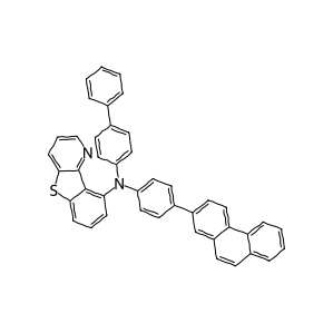 c1ccc(-c2ccc(N(c3ccc(-c4ccc5c(ccc6ccccc65)c4)cc3)c3cccc4sc5cccnc5c34)cc2)cc1